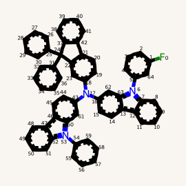 Fc1cccc(-n2c3ccccc3c3ccc(N(c4ccc5c(c4)C(c4ccccc4)(c4ccccc4)c4ccccc4-5)c4ccc5c6ccccc6n(-c6ccccc6)c5c4)cc32)c1